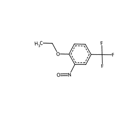 CCOc1ccc(C(F)(F)F)cc1N=O